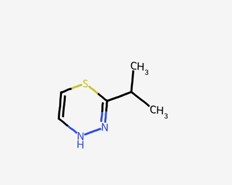 CC(C)C1=NNC=CS1